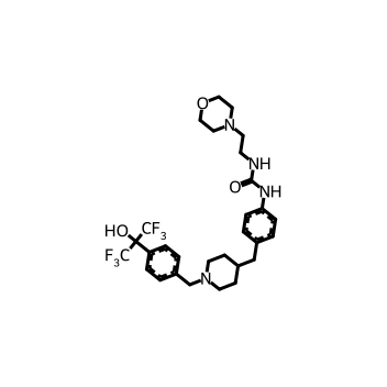 O=C(NCCN1CCOCC1)Nc1ccc(CC2CCN(Cc3ccc(C(O)(C(F)(F)F)C(F)(F)F)cc3)CC2)cc1